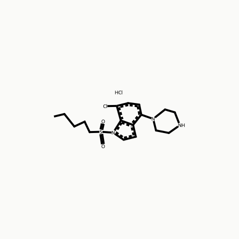 CCCCCS(=O)(=O)n1ccc2c(N3CCNCC3)ccc(Cl)c21.Cl